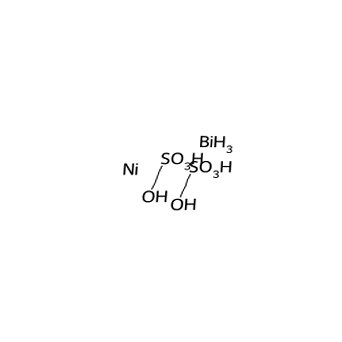 O=S(=O)(O)O.O=S(=O)(O)O.[BiH3].[Ni]